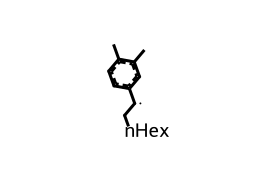 CCCCCCC[CH]c1ccc(C)c(C)c1